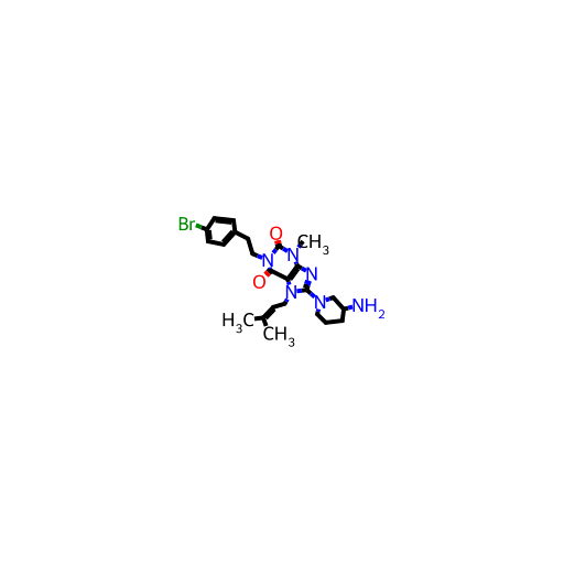 CC(C)=CCn1c(N2CCCC(N)C2)nc2c1c(=O)n(CCc1ccc(Br)cc1)c(=O)n2C